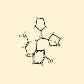 Clc1cccc(CN(C2CCCC2)[C@H]2CCNC2)c1.O=C(O)/C=C/C(=O)O